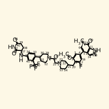 COc1cc(-c2cn(C)c(=O)c3[nH]ncc23)cc(F)c1CC1CCN(CC(=O)N2CCC(c3ccc(NC4CCC(=O)NC4=O)cc3C(F)(F)F)CC2)CC1